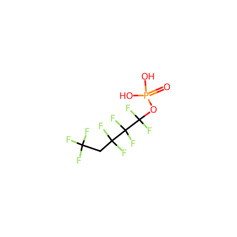 O=P(O)(O)OC(F)(F)C(F)(F)C(F)(F)CC(F)(F)F